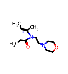 C/C=C(\C)N(CCN1CCOCC1)C(=O)CC